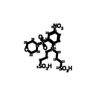 O=[N+]([O-])c1ccc(N(CCCS(=O)(=O)O)CCCS(=O)(=O)O)c(S(=O)(=O)N2CCOCC2)c1